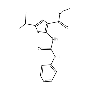 COC(=O)c1cc(C(C)C)sc1NC(=O)Nc1ccccc1